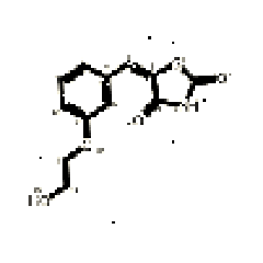 O=C1NC(=O)/C(=C\c2cccc(OCCO)c2)S1